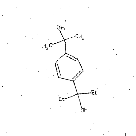 CCC(O)(CC)c1ccc(C(C)(C)O)cc1